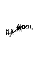 CN(C)CCNc1ccnc(N2CCN(C)CC2)n1